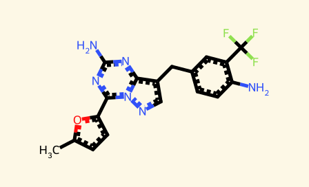 Cc1ccc(-c2nc(N)nc3c(Cc4ccc(N)c(C(F)(F)F)c4)cnn23)o1